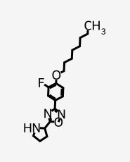 CCCCCCCCOc1ccc(-c2noc(C3CCCN3)n2)cc1F